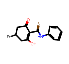 CCC1CC(=O)C(C(=S)Nc2ccccc2)=C(O)C1